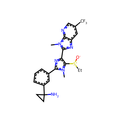 CC[S+]([O-])c1c(-c2nc3cc(C(F)(F)F)cnc3n2C)nc(-c2cccc(C3(N)CC3)c2)n1C